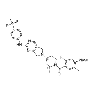 CNc1cc(F)c(C(=O)N2CC[C@@H](N3Cc4cnc(Nc5ccc(S(C)(F)F)cc5)nc4C3)C[C@H]2C)cc1C